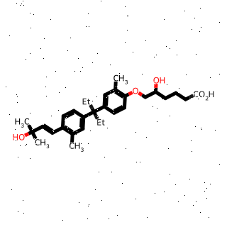 CCC(CC)(c1ccc(C=CC(C)(C)O)c(C)c1)c1ccc(OCC(O)CCCC(=O)O)c(C)c1